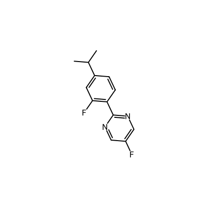 CC(C)c1ccc(-c2ncc(F)cn2)c(F)c1